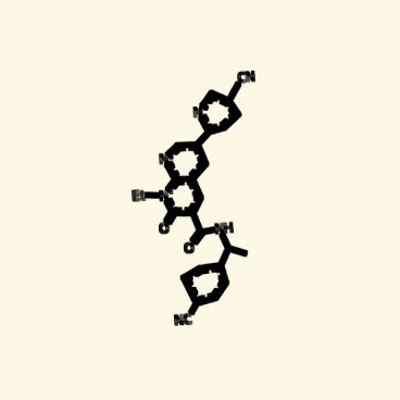 CCn1c(=O)c(C(=O)NC(C)c2ccc(C#N)cc2)cc2cc(-c3ccc(C#N)cn3)cnc21